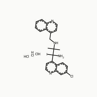 CC(C)(NCc1ccnc2ccccc12)C(N)(I)c1ccnc2cc(Cl)ccc12.Cl.Cl.Cl